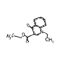 CCOC(=O)c1cn(CC)c2ccccc2c1=O